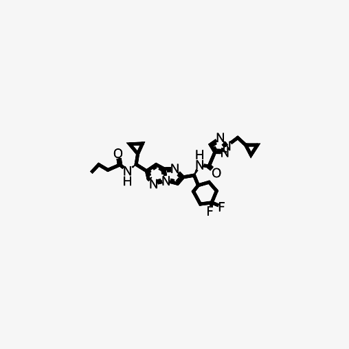 CCCC(=O)N[C@@H](c1cnn2cc([C@@H](NC(=O)c3cnn(CC4CC4)n3)C3CCC(F)(F)CC3)nc2c1)C1CC1